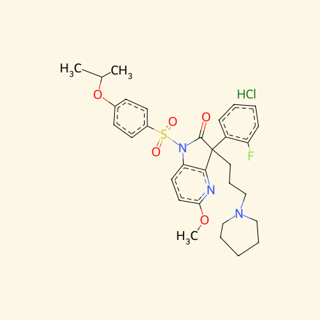 COc1ccc2c(n1)C(CCCN1CCCCC1)(c1ccccc1F)C(=O)N2S(=O)(=O)c1ccc(OC(C)C)cc1.Cl